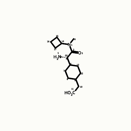 CN(C(=O)[C@@H](N)C1CCC(CC(=O)O)CC1)C1CCC1